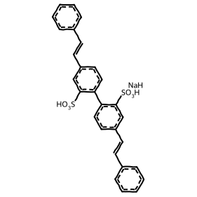 O=S(=O)(O)c1cc(C=Cc2ccccc2)ccc1-c1ccc(C=Cc2ccccc2)cc1S(=O)(=O)O.[NaH]